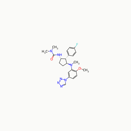 COc1ccc(-n2cnnn2)cc1N(C)[C@H]1CC[C@H](NC(=O)N(C)C)[C@@H]1c1ccc(F)cc1